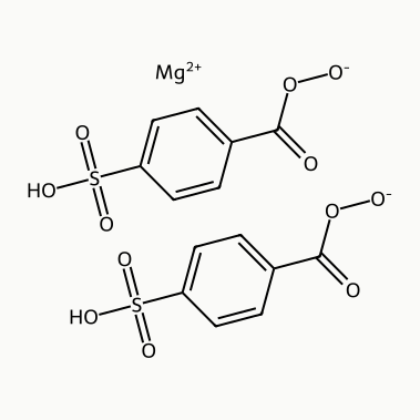 O=C(O[O-])c1ccc(S(=O)(=O)O)cc1.O=C(O[O-])c1ccc(S(=O)(=O)O)cc1.[Mg+2]